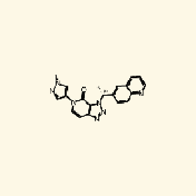 C[C@H](c1ccc2ncccc2c1)n1nnc2ccn(-c3cnn(C)c3)c(=O)c21